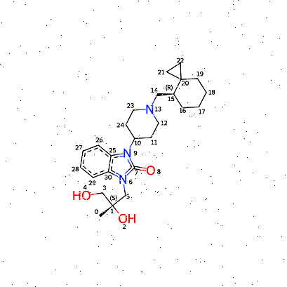 C[C@@](O)(CO)Cn1c(=O)n(C2CCN(C[C@@H]3CCCCC34CC4)CC2)c2ccccc21